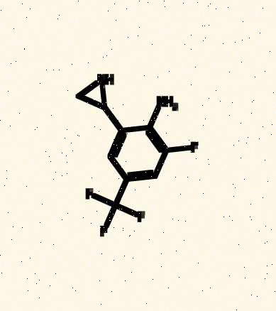 Nc1c(F)cc(C(F)(F)F)cc1C1CN1